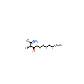 CCCCCCCCCCCCCCCC(=O)C(CC)C(N)CC